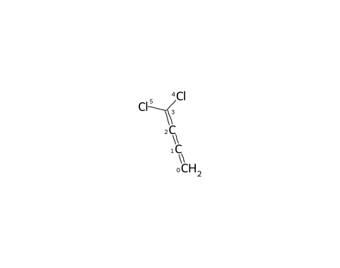 C=C=C=C(Cl)Cl